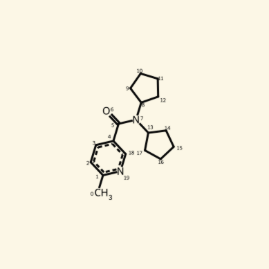 Cc1ccc(C(=O)N(C2CCCC2)C2CCCC2)cn1